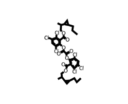 CCCC1CC1C(C)COC(=O)c1c(Cl)c(Cl)cc(Cl)c1OC(=O)C(=O)Oc1c(Cl)cc(Cl)c(Cl)c1C(=O)OCC(C)C1CC1CCC